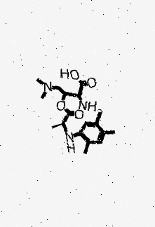 Cc1cc(C)c(N[C@@H](C)C(=O)OC(CN(C)C)C(N)C(=O)O)cc1C